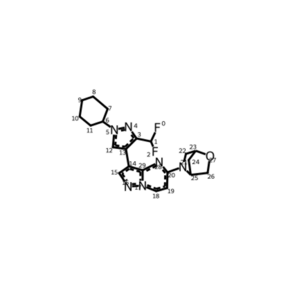 FC(F)c1nn(C2CCCCC2)cc1-c1cnn2ccc(N3CC4CC3CO4)nc12